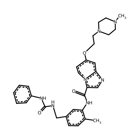 Cc1ccc(CNC(=O)Nc2ccccc2)cc1NC(=O)c1cnc2cc(OCCN3CCN(C)CC3)ccn12